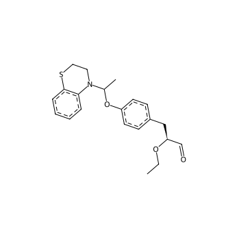 CCO[C@H](C=O)Cc1ccc(OC(C)N2CCSc3ccccc32)cc1